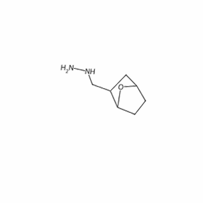 NNCC1CC2CCC1O2